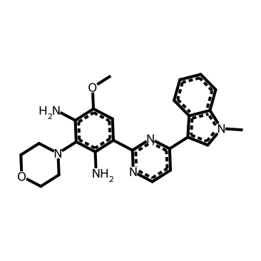 COc1cc(-c2nccc(-c3cn(C)c4ccccc34)n2)c(N)c(N2CCOCC2)c1N